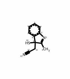 CC1=Nc2ccccc2C1(S)CC#N